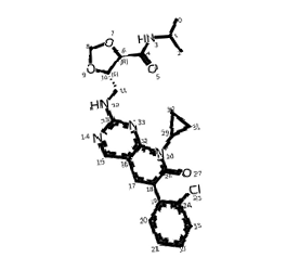 CC(C)NC(=O)[C@@H]1OCO[C@H]1CNc1ncc2cc(-c3ccccc3Cl)c(=O)n(C3CC3)c2n1